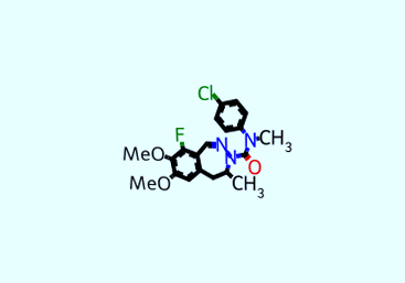 COc1cc2c(c(F)c1OC)C=NN(C(=O)N(C)c1ccc(Cl)cc1)C(C)C2